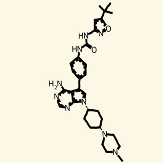 CN1CCN([C@H]2CC[C@@H](n3cc(-c4ccc(NC(=O)Nc5cc(C(C)(C)C)on5)cc4)c4c(N)ncnc43)CC2)CC1